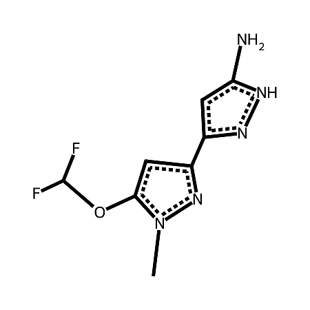 Cn1nc(-c2cc(N)[nH]n2)cc1OC(F)F